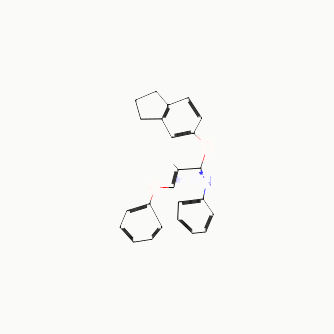 CC(=C\Oc1ccccc1)/C(=N\c1ccccc1)Oc1ccc2c(c1)CCC2